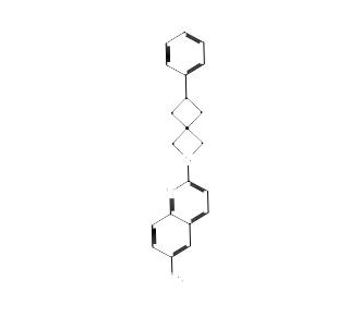 N#Cc1ccc2nc(N3CC4(CC(c5ccccc5)C4)C3)ccc2c1